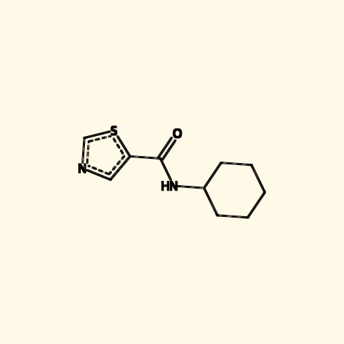 O=C(NC1CCCCC1)c1cncs1